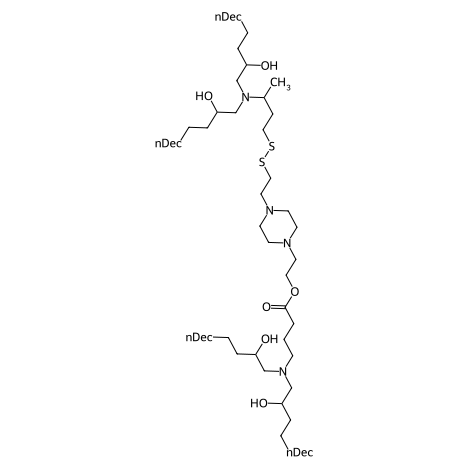 CCCCCCCCCCCCC(O)CN(CCCC(=O)OCCN1CCN(CCSSCCC(C)N(CC(O)CCCCCCCCCCCC)CC(O)CCCCCCCCCCCC)CC1)CC(O)CCCCCCCCCCCC